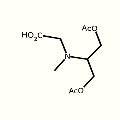 CC(=O)OCC(COC(C)=O)N(C)CC(=O)O